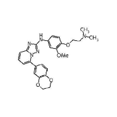 COc1cc(Nc2nc3cccc(-c4ccc5c(c4)OCCO5)n3n2)ccc1OCCN(C)C